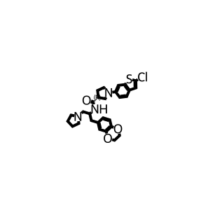 O=C(NC(Cc1ccc2c(c1)OCCO2)CN1CCCC1)[C@@H]1CCN(c2ccc3cc(Cl)sc3c2)C1